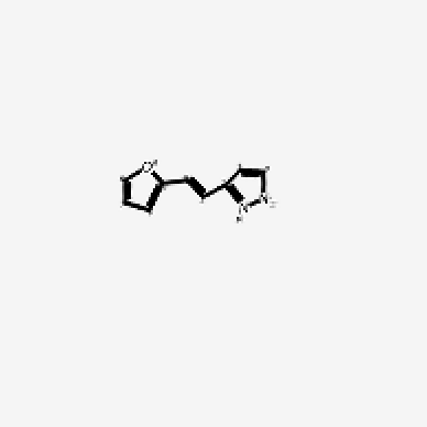 C1=CC(/C=C/c2ccco2)=N[N]1